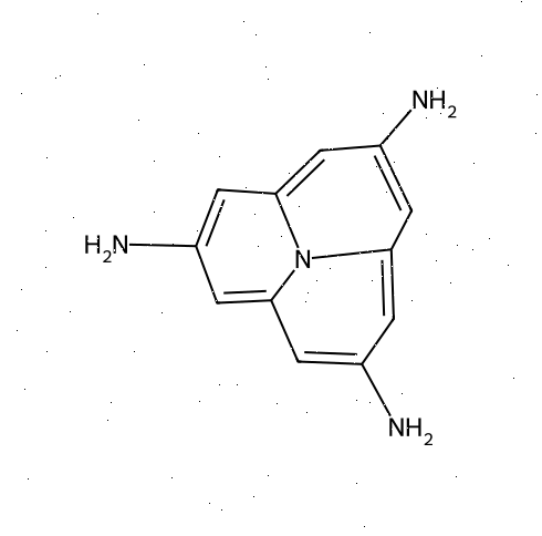 NC1=CC2=CC(N)=CC3=CC(N)=CC(=C1)N23